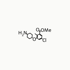 COC(=O)c1cc(Cl)cc(OC2CCC(N)CC2)c1C